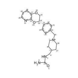 NC(=O)NCC1CCN(Cc2ccc([C@H]3COc4cccnc4O3)cc2)CC1